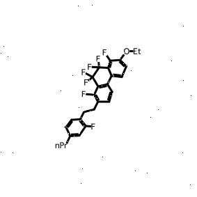 CCCc1ccc(CCc2ccc3c(c2F)C(F)(F)C(F)(F)c2c-3ccc(OCC)c2F)c(F)c1